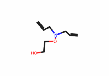 C=CCN(CC=C)OCCO